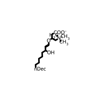 CCCCCCCCCCCCCCCC(O)C=COC(CC(=O)[O-])C[N+](C)(C)C